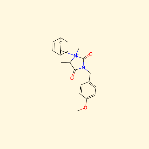 COc1ccc(CN2C(=O)C(C)[N+](C)(C3CC4C=CC3CC4)C2=O)cc1